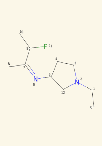 CCN1CCC(N=C(C)C(C)F)C1